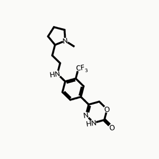 CN1CCCC1CCNc1ccc(C2=NNC(=O)OC2)cc1C(F)(F)F